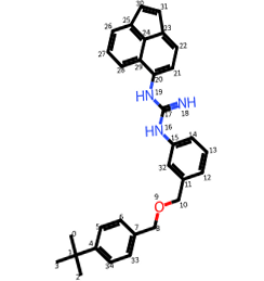 CC(C)(C)c1ccc(COCc2cccc(NC(=N)Nc3ccc4c5c(cccc35)C=C4)c2)cc1